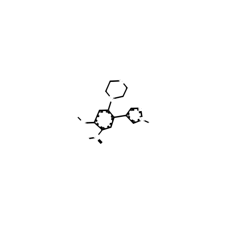 COc1cc(N2CCNCC2)c(-c2cnn(C)c2)cc1[N+](=O)[O-]